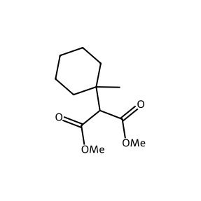 COC(=O)C(C(=O)OC)C1(C)CCCCC1